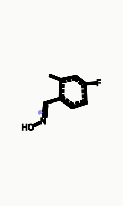 Cc1cc(F)ccc1/C=N/O